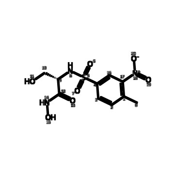 Cc1ccc(S(=O)(=O)N[C@@H](CO)C(=O)NO)cc1[N+](=O)[O-]